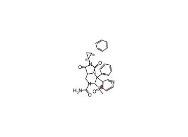 CS(=O)(=O)C1N(C(N)=O)CC2C(=O)N([C@H]3C[C@@H]3c3ccccc3)C(=O)N2C1(c1ccccc1)c1cccnc1